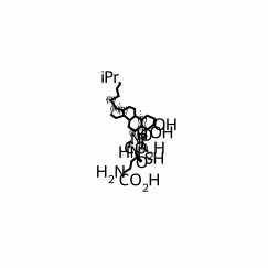 CC(C)CCC[C@@H](C)[C@H]1CCC2C3C[C@@H](N(CC(=O)O)C(=O)[C@@H](CS)NC(=O)CCC(N)C(=O)O)[C@H]4CC(O)(O)CC[C@]4(C)C3CC[C@@]21C